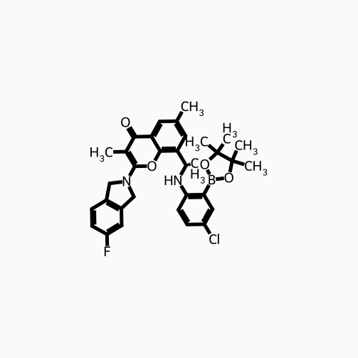 Cc1cc([C@@H](C)Nc2ccc(Cl)cc2B2OC(C)(C)C(C)(C)O2)c2oc(N3Cc4ccc(F)cc4C3)c(C)c(=O)c2c1